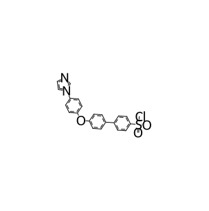 O=S(=O)(Cl)c1ccc(-c2ccc(Oc3ccc(-n4ccnc4)cc3)cc2)cc1